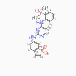 CP(C)(=O)c1ccccc1Nc1nc(Nc2ccc3c(c2)S(=O)(=O)C=C3)ncc1Cl